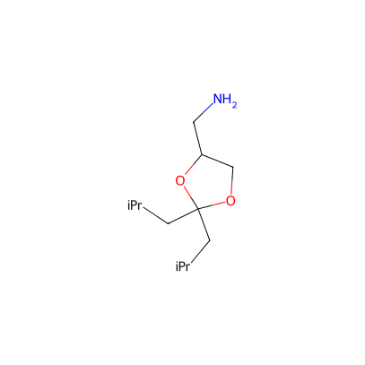 CC(C)CC1(CC(C)C)OCC(CN)O1